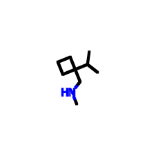 CNCC1(C(C)C)CCC1